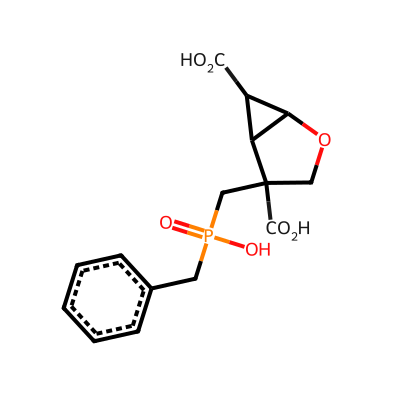 O=C(O)C1C2OCC(CP(=O)(O)Cc3ccccc3)(C(=O)O)C21